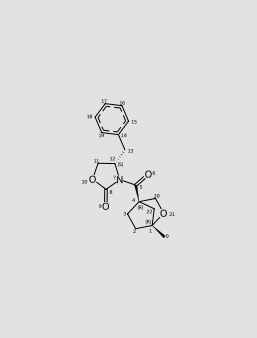 C[C@]12CC[C@](C(=O)N3C(=O)OC[C@@H]3Cc3ccccc3)(CO1)C2